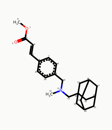 COC(=O)/C=C/c1ccc(CN(C)CC23CC4CC(CC(C4)C2)C3)cc1